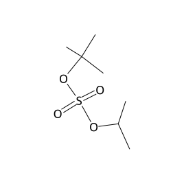 CC(C)OS(=O)(=O)OC(C)(C)C